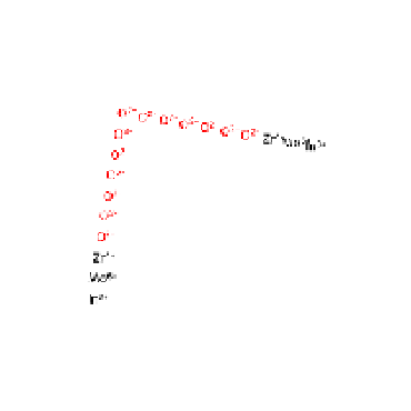 [In+3].[In+3].[Mo+6].[Mo+6].[O-2].[O-2].[O-2].[O-2].[O-2].[O-2].[O-2].[O-2].[O-2].[O-2].[O-2].[O-2].[O-2].[Zr+4].[Zr+4]